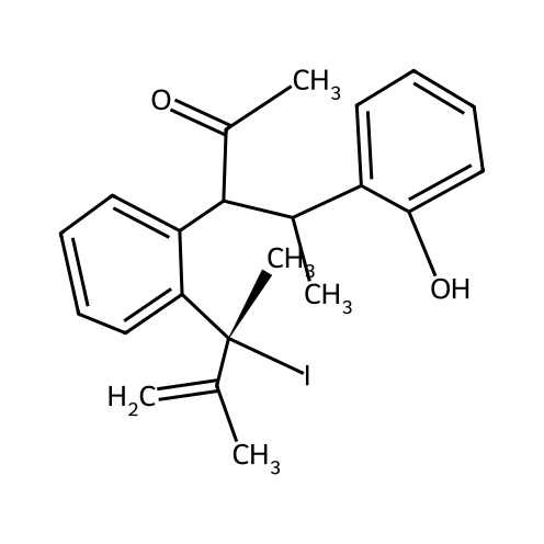 C=C(C)[C@@](C)(I)c1ccccc1C(C(C)=O)C(C)c1ccccc1O